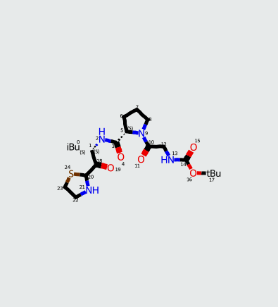 CC[C@H](C)[C@H](NC(=O)[C@@H]1CCCN1C(=O)CNC(=O)OC(C)(C)C)C(=O)C1NCCS1